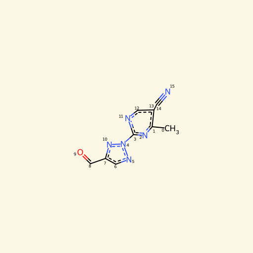 Cc1nc(-n2ncc(C=O)n2)ncc1C#N